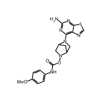 COc1ccc(NC(=O)ON2CC3CC2CN3c2nc(N)nc3scnc23)cc1